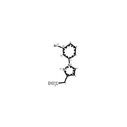 CCOC(=O)Cc1ccn(-c2cccc(Br)c2)n1